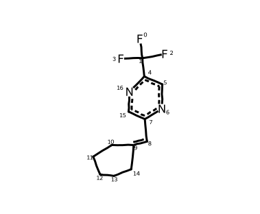 FC(F)(F)c1cnc(C=C2CCCCC2)cn1